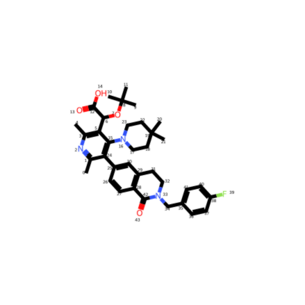 Cc1nc(C)c(C(OC(C)(C)C)C(=O)O)c(N2CCC(C)(C)CC2)c1-c1ccc2c(c1)CCN(Cc1ccc(F)cc1)C2=O